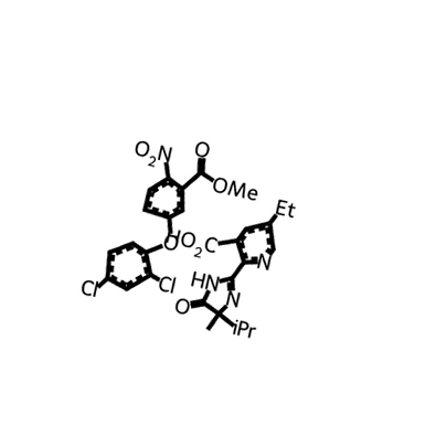 CCc1cnc(C2=NC(C)(C(C)C)C(=O)N2)c(C(=O)O)c1.COC(=O)c1cc(Oc2ccc(Cl)cc2Cl)ccc1[N+](=O)[O-]